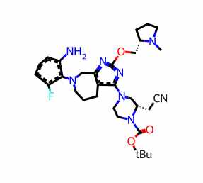 CN1CCC[C@H]1COc1nc2c(c(N3CCN(C(=O)OC(C)(C)C)[C@@H](CC#N)C3)n1)CCCN(c1c(N)cccc1F)C2